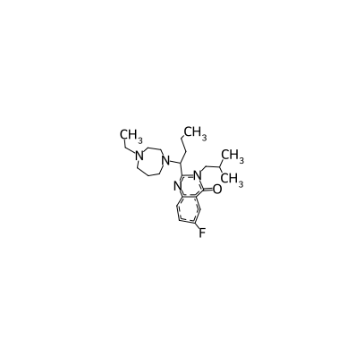 CCCC(c1nc2ccc(F)cc2c(=O)n1CC(C)C)N1CCCN(CC)CC1